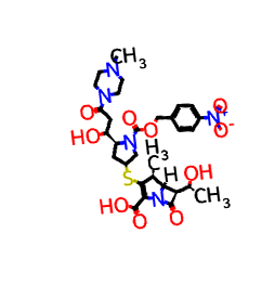 C[C@@H](O)[C@H]1C(=O)N2C(C(=O)O)=C(S[C@H]3C[C@@H](C(O)CC(=O)N4CCN(C)CC4)N(C(=O)OCc4ccc([N+](=O)[O-])cc4)C3)[C@H](C)[C@H]12